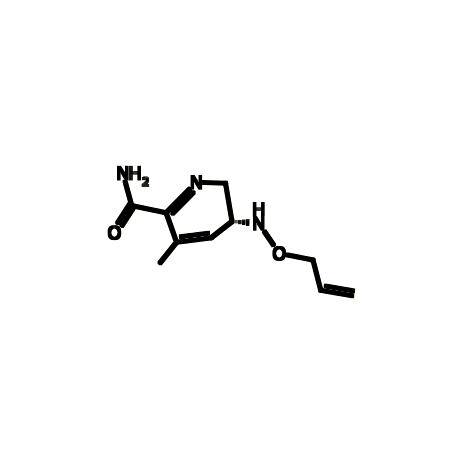 C=CCON[C@@H]1C=C(C)C(C(N)=O)=NC1